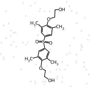 Cc1cc(S(=O)(=O)c2cc(C)c(OCCO)c(C)c2)cc(C)c1OCCO